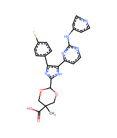 CC1(C(=O)O)COC(c2nc(-c3ccc(F)cc3)c(-c3ccnc(Nc4ccncc4)n3)[nH]2)OC1